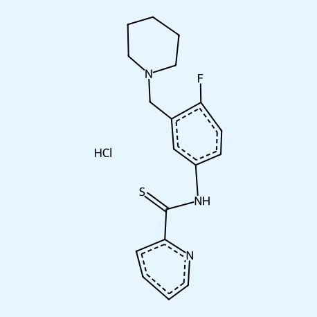 Cl.Fc1ccc(NC(=S)c2ccccn2)cc1CN1CCCCC1